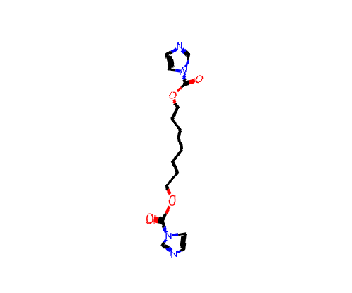 O=C(OCCCCCCCCOC(=O)n1ccnc1)n1ccnc1